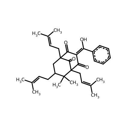 CC(C)=CCC1CC2(CC=C(C)C)C(=O)C(=C(O)c3ccccc3)C(=O)C(CC=C(C)C)(C2=O)C1(C)C